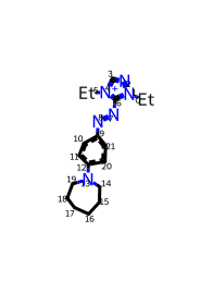 CCn1nc[n+](CC)c1N=Nc1ccc(N2CCCCCC2)cc1